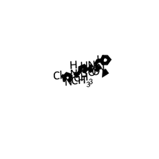 Cc1ncc(Cl)cc1NC(C)c1ccc(C(=O)NC(CC2CCCCC2)C(=O)NC2CC2)s1